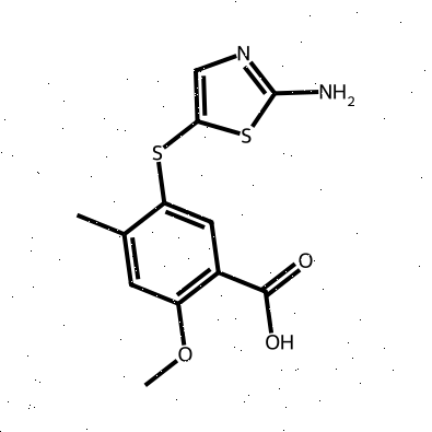 COc1cc(C)c(Sc2cnc(N)s2)cc1C(=O)O